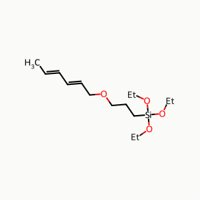 CC=CC=CCOCCC[Si](OCC)(OCC)OCC